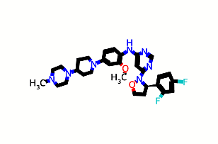 COc1cc(N2CCC(N3CCN(C)CC3)CC2)ccc1Nc1cc(N2OCC[C@@H]2c2ccc(F)cc2F)ncn1